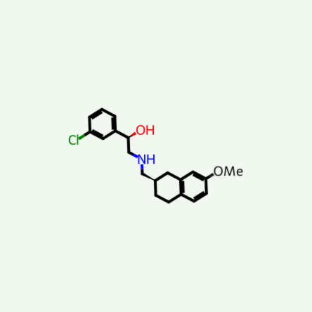 COc1ccc2c(c1)C[C@H](CNC[C@H](O)c1cccc(Cl)c1)CC2